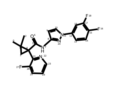 CC1(C)CC1(C(=O)Nc1ccn(-c2ccc(F)c(F)c2)n1)c1ncccc1F